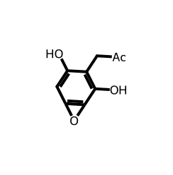 CC(=O)Cc1c(O)cc2c(c1O)O2